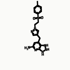 Cc1ccc(S(=O)(=O)CCn2cc(Cc3cc(N)nc4c3NNN4)cn2)cc1